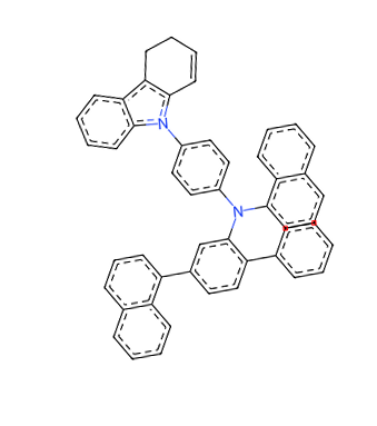 C1=Cc2c(c3ccccc3n2-c2ccc(N(c3cc(-c4cccc5ccccc45)ccc3-c3ccccc3)c3cccc4ccccc34)cc2)CC1